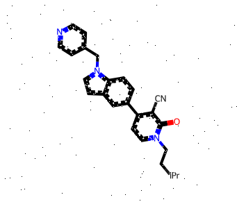 CC(C)CCn1ccc(-c2ccc3c(ccn3Cc3ccncc3)c2)c(C#N)c1=O